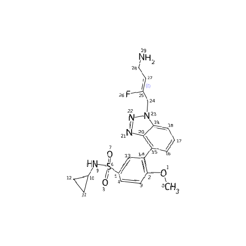 COc1ccc(S(=O)(=O)NC2CC2)cc1-c1cccc2c1nnn2C/C(F)=C/CN